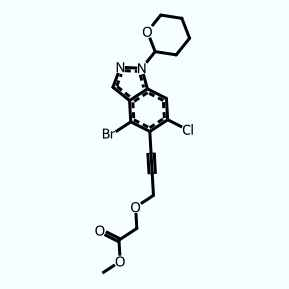 COC(=O)COCC#Cc1c(Cl)cc2c(cnn2C2CCCCO2)c1Br